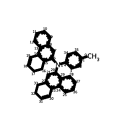 Cc1ccc(N(c2cc3ccccc3c3c2CCC=C3)c2cc3c(c4ccccc24)C=CCC3)cc1